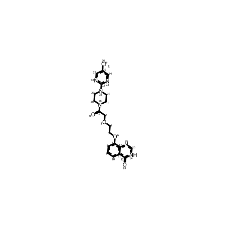 O=C(COCCOc1cccc2c(=O)[nH]cnc12)N1CCN(c2ncc(C(F)(F)F)cn2)CC1